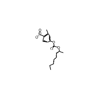 CCCCCCC(C)OC(=O)Oc1ccc([N+](=O)[O-])c(C)c1